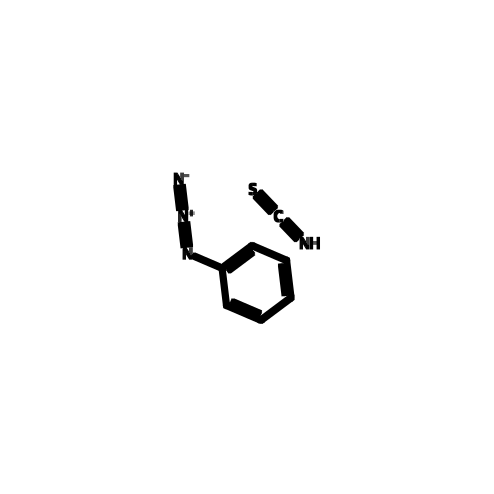 N=C=S.[N-]=[N+]=Nc1ccccc1